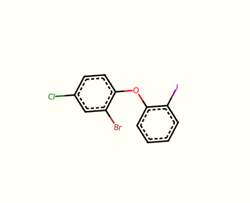 Clc1ccc(Oc2ccccc2I)c(Br)c1